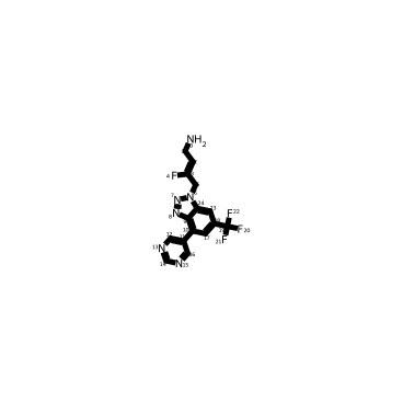 NC/C=C(\F)Cn1nnc2c(-c3cncnc3)cc(C(F)(F)F)cc21